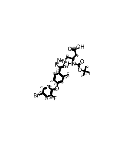 CC(C)(C)OC(=O)NC(CC(=O)O)Cn1nnc(-c2ccc(Oc3ncc(Br)cc3F)cc2F)n1